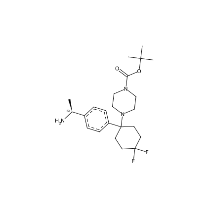 C[C@H](N)c1ccc(C2(N3CCN(C(=O)OC(C)(C)C)CC3)CCC(F)(F)CC2)cc1